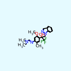 CCN(C)/C=N/c1cc(OC)c(C(O)(Cn2ncc3ccccc32)C(F)(F)F)cc1C